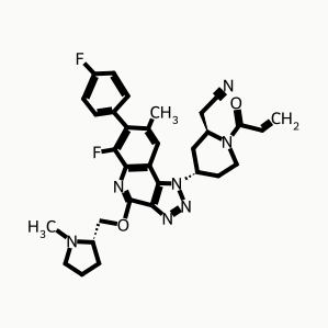 C=CC(=O)N1CC[C@H](n2nnc3c(OC[C@@H]4CCCN4C)nc4c(F)c(-c5ccc(F)cc5)c(C)cc4c32)C[C@H]1CC#N